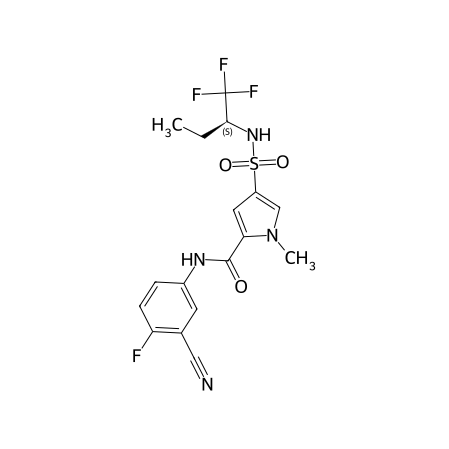 CC[C@H](NS(=O)(=O)c1cc(C(=O)Nc2ccc(F)c(C#N)c2)n(C)c1)C(F)(F)F